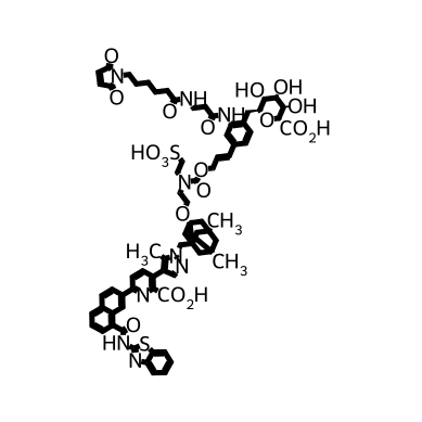 Cc1c(-c2ccc(-c3ccc4cccc(C(=O)Nc5nc6ccccc6s5)c4c3)nc2C(=O)O)cnn1CC12CC3(C)CC(C)(C1)CC(OCCN(CCS(=O)(=O)O)C(=O)OC/C=C/c1ccc(C[C@@H]4O[C@H](C(=O)O)[C@@H](O)[C@H](O)[C@H]4O)c(NC(=O)CCNC(=O)CCCCCN4C(=O)C=CC4=O)c1)(C3)C2